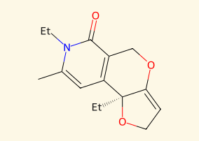 CCn1c(C)cc2c(c1=O)COC1=CCO[C@]12CC